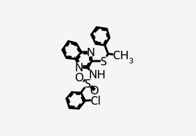 CC(Sc1nc2ccccc2nc1NS(=O)(=O)c1ccccc1Cl)c1ccccc1